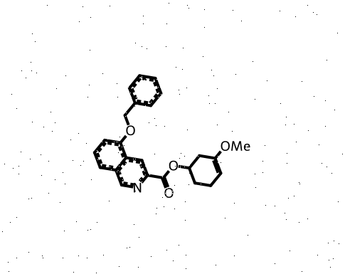 COC1=CCCC(OC(=O)c2cc3c(OCc4ccccc4)cccc3cn2)C1